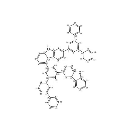 C1=CC2Oc3cc(-c4cc(-c5ccccc5)cc(-c5ccccc5)c4)ccc3C2C(c2nc(-c3cccc(-c4ccccc4)c3)nc(-c3ccc4oc5ccccc5c4c3)n2)=C1